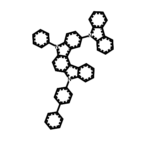 c1ccc(-c2ccc(-n3c4ccccc4c4c5c6cc(-n7c8ccccc8c8ccccc87)ccc6n(-c6ccccc6)c5ccc43)cc2)cc1